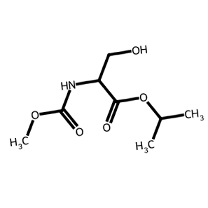 COC(=O)NC(CO)C(=O)OC(C)C